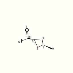 C[C@H]1C[C@@H](C(=O)I)C1